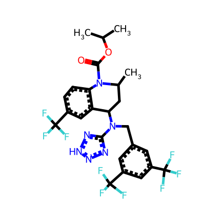 CC(C)OC(=O)N1c2ccc(C(F)(F)F)cc2C(N(Cc2cc(C(F)(F)F)cc(C(F)(F)F)c2)c2nn[nH]n2)CC1C